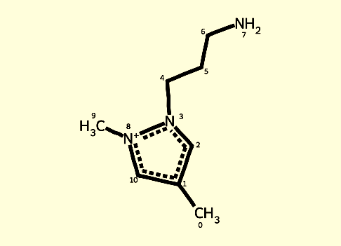 Cc1cn(CCCN)[n+](C)c1